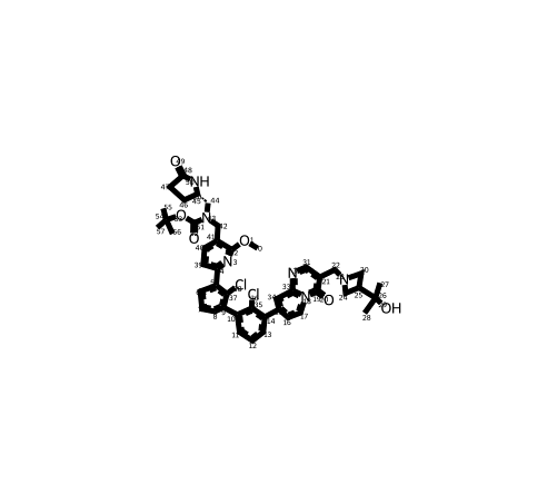 COc1nc(-c2cccc(-c3cccc(-c4ccn5c(=O)c(CN6CC(C(C)(C)O)C6)cnc5c4)c3Cl)c2Cl)ccc1CN(C[C@@H]1CCC(=O)N1)C(=O)OC(C)(C)C